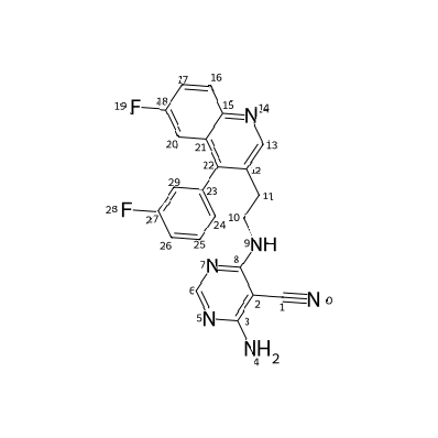 N#Cc1c(N)ncnc1NCCc1cnc2ccc(F)cc2c1-c1cccc(F)c1